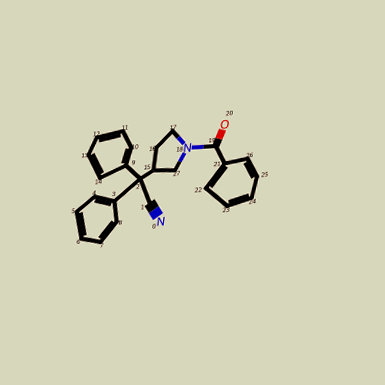 N#CC(c1ccccc1)(c1ccccc1)C1CCN(C(=O)c2ccccc2)C1